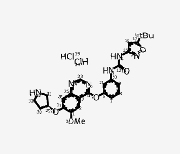 COc1cc2c(Oc3cccc(NC(=O)Nc4cc(C(C)(C)C)on4)c3)ncnc2cc1O[C@H]1CCNC1.Cl.Cl